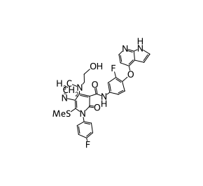 C=Nc1c(N(C)CCO)c(C(=O)Nc2ccc(Oc3ccnc4[nH]ccc34)c(F)c2)c(=O)n(-c2ccc(F)cc2)c1SC